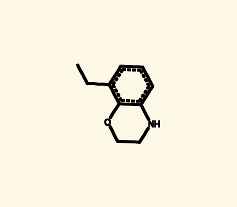 CCc1cccc2c1OCCN2